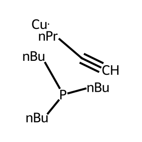 C#CCCC.CCCCP(CCCC)CCCC.[Cu]